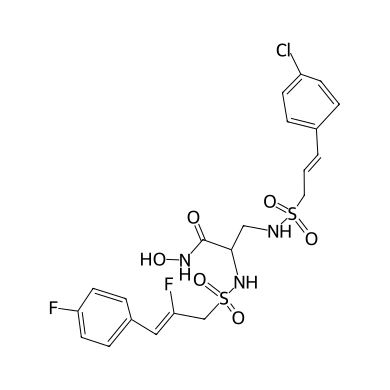 O=C(NO)C(CNS(=O)(=O)CC=Cc1ccc(Cl)cc1)NS(=O)(=O)CC(F)=Cc1ccc(F)cc1